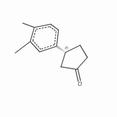 Cc1ccc([C@@H]2CCC(=O)C2)cc1C